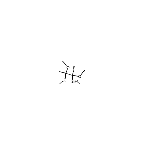 COC(F)([SiH3])C(C)(OC)OC